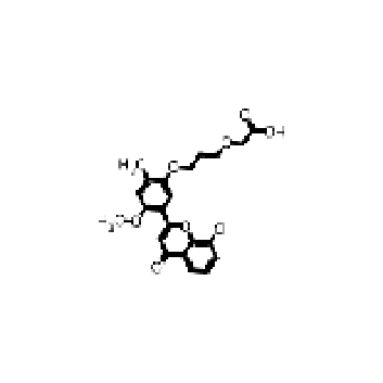 COc1cc(C)c(OCCCOCC(=O)O)cc1-c1cc(=O)c2cccc(Cl)c2o1